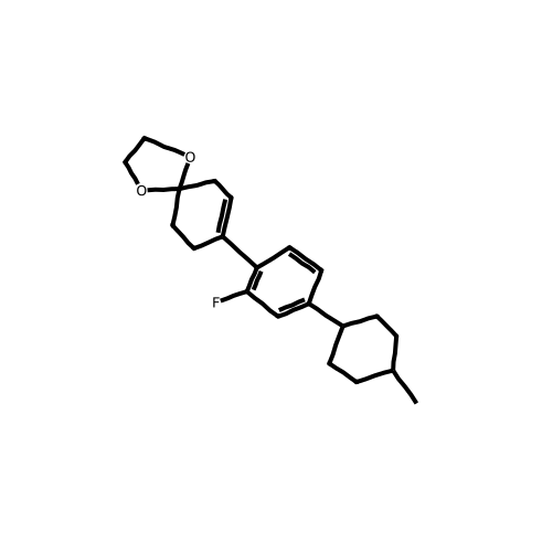 CC1CCC(c2ccc(C3=CCC4(CC3)OCCO4)c(F)c2)CC1